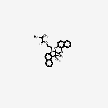 C=C(C)C(=O)OCCN1c2ccc3ccccc3c2C(C)(C)C12C=Nc1c(ccc3ccccc13)O2